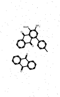 CNc1c(N)cc(-c2ccc(C)cc2)c2c1C(=O)c1ccccc1C2=O.O=C1c2ccccc2C(=O)c2ccccc21